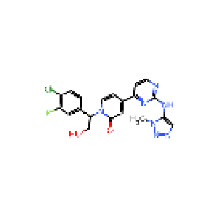 Cn1nncc1Nc1nccc(-c2ccn(C(CO)c3ccc(Cl)c(F)c3)c(=O)c2)n1